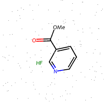 COC(=O)c1cccnc1.F